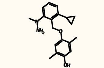 Cc1cc(OCc2c(C3CC3)cccc2N(C)N)c(C)cc1O